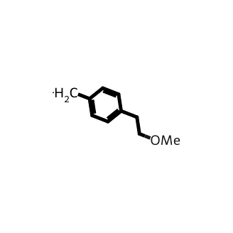 [CH2]c1ccc(CCOC)cc1